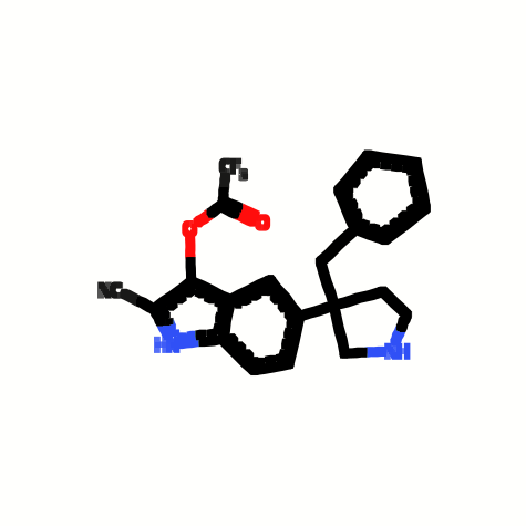 N#Cc1[nH]c2ccc(C3(Cc4ccccc4)CCNC3)cc2c1OC(=O)C(F)(F)F